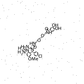 COc1ccc2c(c1)C(c1ccc(Cl)cc1)=N[C@@H](CC(=O)NCCOCCOCCNC(=O)c1ccc(O)c(O)c1)C(N)N2C(C)N